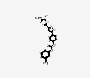 COC(=O)[C@@H](NC(=O)c1cc(-c2ccc(NC(=O)Nc3cccc(Cl)c3)cc2)no1)C(C)C